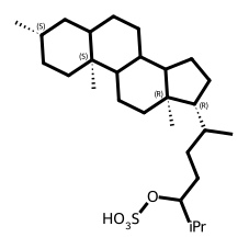 CC(C)C(CCC(C)[C@H]1CCC2C3CCC4C[C@@H](C)CC[C@]4(C)C3CC[C@@]21C)OS(=O)(=O)O